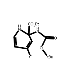 CCOC(=O)C1(NC(=O)OC(C)(C)C)C=C(Cl)C=CN1